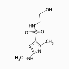 CNc1nc(C)c(S(=O)(=O)NCCO)s1